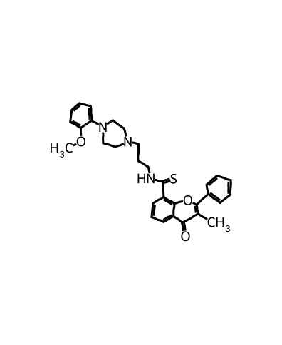 COc1ccccc1N1CCN(CCCNC(=S)c2cccc3c(=O)c(C)c(-c4ccccc4)oc23)CC1